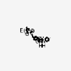 CCC1C(=O)N(C(=O)NCCc2ccc(S(=O)(=O)NC(=O)N[C@H]3CC[C@@H](C)CC3)cc2)C=C1C